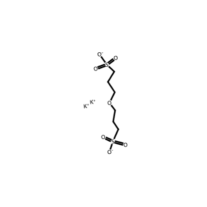 O=S(=O)([O-])CCCOCCCS(=O)(=O)[O-].[K+].[K+]